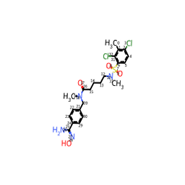 Cc1c(Cl)ccc(S(=O)(=O)N(C)CCCCC(=O)N(C)Cc2ccc(C(N)=NO)cc2)c1Cl